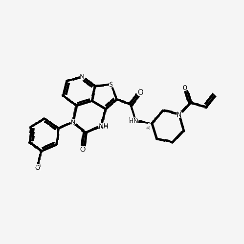 C=CC(=O)N1CCC[C@@H](NC(=O)c2sc3nccc4c3c2NC(=O)N4c2cccc(Cl)c2)C1